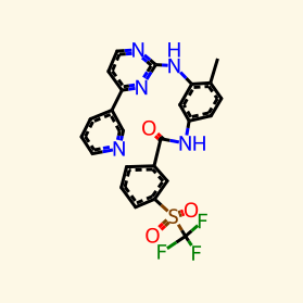 Cc1ccc(NC(=O)c2cccc(S(=O)(=O)C(F)(F)F)c2)cc1Nc1nccc(-c2cccnc2)n1